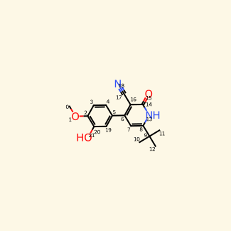 COc1ccc(-c2cc(C(C)(C)C)[nH]c(=O)c2C#N)cc1O